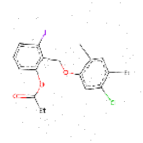 CCC(=O)Oc1cccc(I)c1COc1cc(Cl)c(CC)cc1C